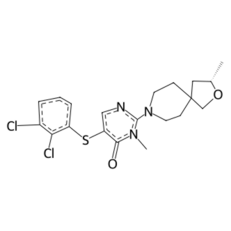 C[C@H]1CC2(CCN(c3ncc(Sc4cccc(Cl)c4Cl)c(=O)n3C)CC2)CO1